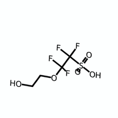 O=S(=O)(O)C(F)(F)C(F)(F)OCCO